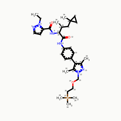 CCn1nccc1C(=O)N[C@H](C(=O)Nc1ccc(-c2c(C)nn(COCCS(C)(C)C)c2C)cc1)[C@@H](C)CC1(C)CC1